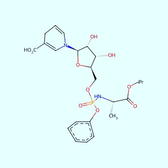 CC(C)OC(=O)[C@H](C)NP(=O)(OC[C@H]1O[C@@H](N2C=CCC(C(=O)O)=C2)[C@H](O)[C@@H]1O)Oc1ccccc1